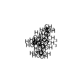 CCC1OC(O)C(NC(C)=O)[C@@H](C)[C@@H]1O[C@@H]1OC(CC)[C@@H](O[C@@H]2OC(CO[C@H]3OC(CO)[C@@H](O)C(O)[C@H]3O)[C@@H](O)[C@H](O[C@@H]3OC(CO)[C@H](O)C(O)[C@@H]3O)C2O)[C@H](C)C1NC(C)=O